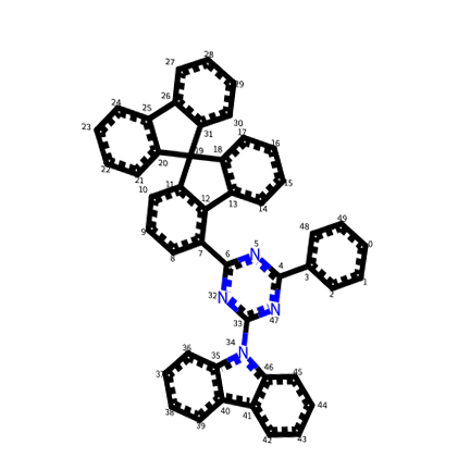 c1ccc(-c2nc(-c3cccc4c3-c3ccccc3C43c4ccccc4-c4ccccc43)nc(-n3c4ccccc4c4ccccc43)n2)cc1